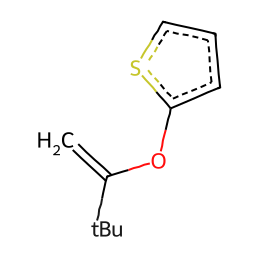 C=C(Oc1cccs1)C(C)(C)C